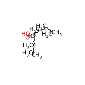 C=C(CC/C=C(\C)CCC=C(C)C)CC[C@H]1C=C(CC/C=C(\C)CCC=C(C)C)C[C@H](C(=O)O)C1